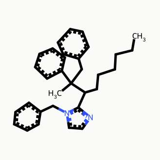 CCCCCCC(c1nccn1Cc1ccccc1)C(C)(Cc1ccccc1)c1ccccc1